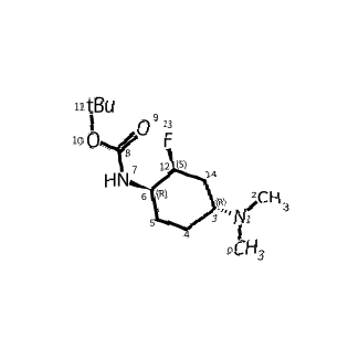 CN(C)[C@@H]1CC[C@@H](NC(=O)OC(C)(C)C)[C@@H](F)C1